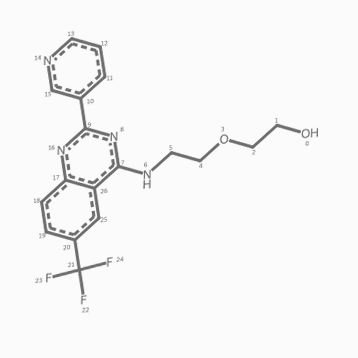 OCCOCCNc1nc(-c2cccnc2)nc2ccc(C(F)(F)F)cc12